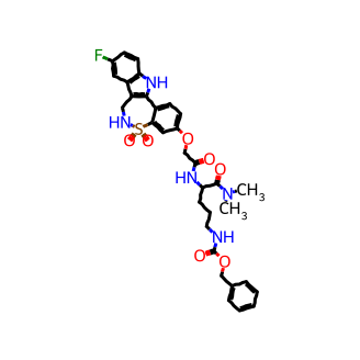 CN(C)C(=O)C(CCCNC(=O)OCc1ccccc1)NC(=O)COc1ccc2c(c1)S(=O)(=O)NCc1c-2[nH]c2ccc(F)cc12